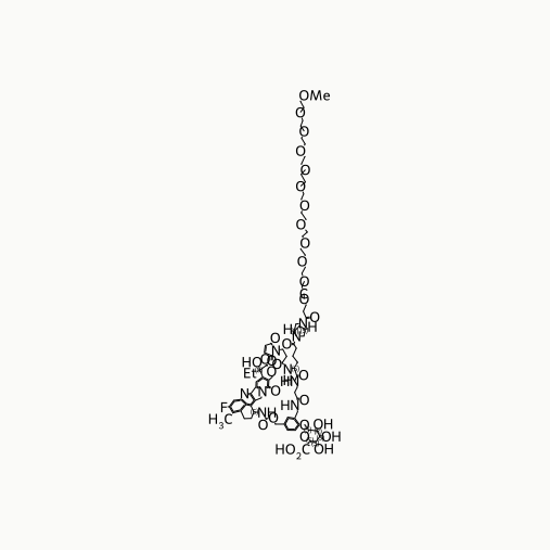 CC[C@@]1(O)C(=O)OCc2c1cc1n(c2=O)Cc2c-1nc1cc(F)c(C)c3c1c2[C@@H](NC(=O)OCc1ccc(O[C@@H]2O[C@H](C(=O)O)[C@@H](O)[C@H](O)[C@H]2O)c(CNC(=O)CCNC(=O)[C@H](CCCC(=O)N2C[C@@H]4C[C@H]2CN4C(=O)CCOCCOCCOCCOCCOCCOCCOCCOCCOCCOCCOCCOC)NC(=O)CCN2C(=O)C=CC2=O)c1)CC3